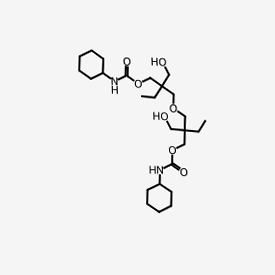 CCC(CO)(COCC(CC)(CO)COC(=O)NC1CCCCC1)COC(=O)NC1CCCCC1